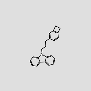 c1ccc2c(c1)c1ccccc1n2CCCc1ccc2c(c1)CC2